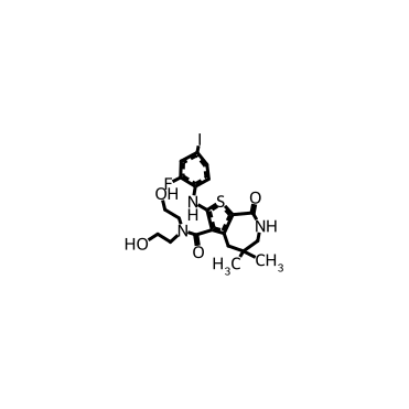 CC1(C)CNC(=O)c2sc(Nc3ccc(I)cc3F)c(C(=O)N(CCO)CCO)c2C1